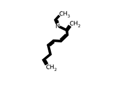 C=CC/C=C\C=C/C(=C)/N=C\C